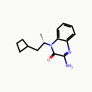 C[C@@H](CC1CCC1)n1c(=O)c(N)nc2ccccc21